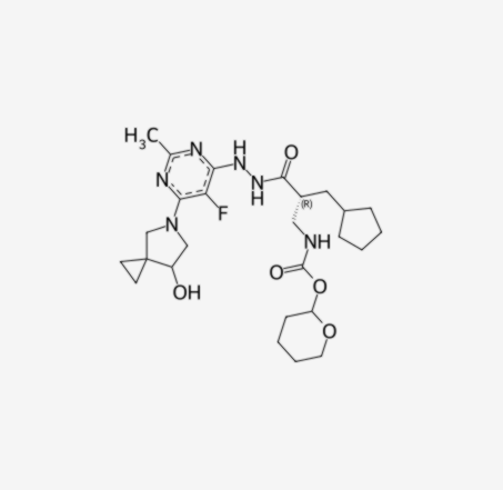 Cc1nc(NNC(=O)[C@@H](CNC(=O)OC2CCCCO2)CC2CCCC2)c(F)c(N2CC(O)C3(CC3)C2)n1